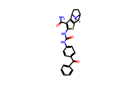 CN1C2CCC1c1c(sc(NC(=O)Nc3ccc(C(=O)c4ccccc4)cc3)c1C(N)=O)C2